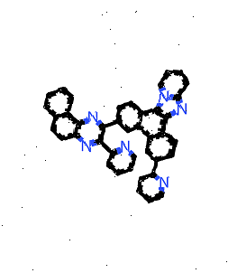 c1ccc(-c2ccc3c(c2)c2cc(-c4nc5c(ccc6ccccc65)nc4-c4ccccn4)ccc2c2c3nc3ccccn32)nc1